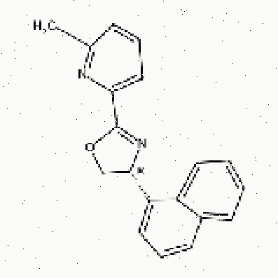 Cc1cccc(C2=N[C@H](c3cccc4ccccc34)CO2)n1